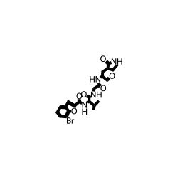 CC(C)C(NC(=O)c1cc2cccc(Br)c2o1)C(=O)NCC(=O)NC(C=O)CC1CCNC1=O